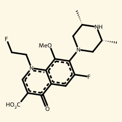 COc1c(N2C[C@@H](C)N[C@@H](C)C2)c(F)cc2c(=O)c(C(=O)O)cn(CCF)c12